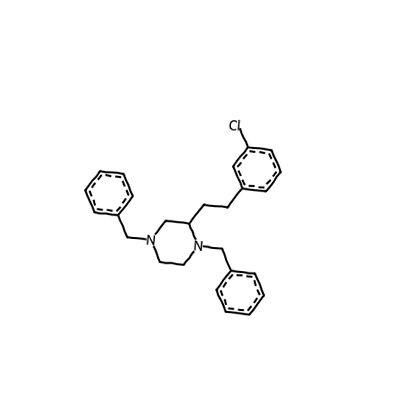 Clc1cccc(CCC2CN(Cc3ccccc3)CCN2Cc2ccccc2)c1